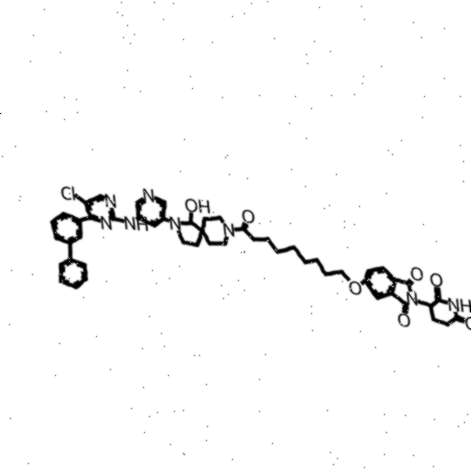 O=C1CCC(N2C(=O)c3ccc(OCCCCCCCCC(=O)N4CCC5(CC4)CCN(c4cncc(Nc6ncc(Cl)c(-c7cccc(-c8ccccc8)c7)n6)c4)C5O)cc3C2=O)C(=O)N1